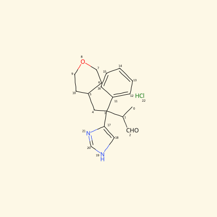 CC(C=O)C(CC1CCOCC1)(c1ccccc1)c1c[nH]cn1.Cl